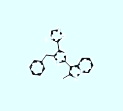 Cc1nn2ccccc2c1-c1nc(Cc2ccccc2)c(-c2nnc[nH]2)s1